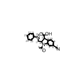 CC(=O)N1c2cc(C#N)ccc2C(C(=O)O)C1CN(C)c1ccccc1